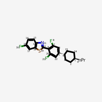 CCC[C@H]1CC[C@H](c2cc(F)c(-c3nc4ccc(F)cc4s3)c(F)c2)CC1